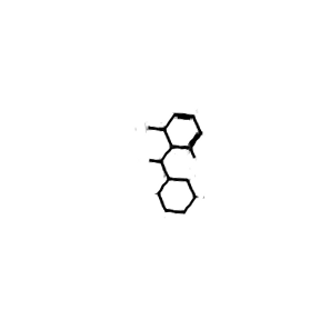 CC([C]1C(Cl)=CC=CC1Cl)C1CCCCC1